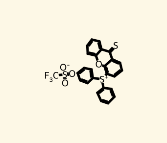 O=S(=O)([O-])C(F)(F)F.S=c1c2ccccc2oc2c([S+](c3ccccc3)c3ccccc3)cccc12